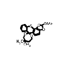 COC1Oc2ccc3c(c2O1)Sc1ccccc1C31OCCC(C)(C)CO1